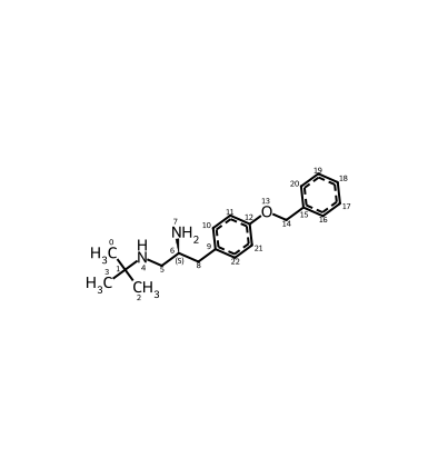 CC(C)(C)NC[C@@H](N)Cc1ccc(OCc2ccccc2)cc1